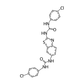 O=C(Nc1ccc(Cl)cc1)Nc1ccc2nc(NC(=O)Nc3ccc(Cl)cc3)sc2c1